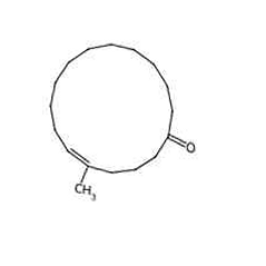 CC1=CCCCCCCCCCCC(=O)CCC1